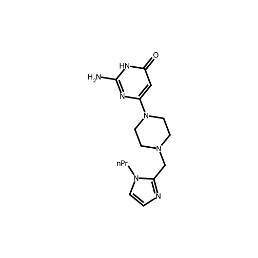 CCCn1ccnc1CN1CCN(c2cc(=O)[nH]c(N)n2)CC1